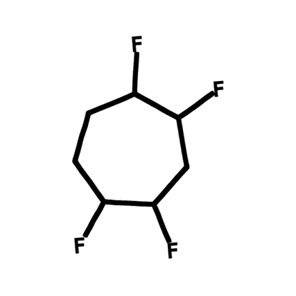 FC1CCC(F)C(F)CC1F